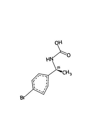 C[C@H](NC(=O)O)c1ccc(Br)cc1